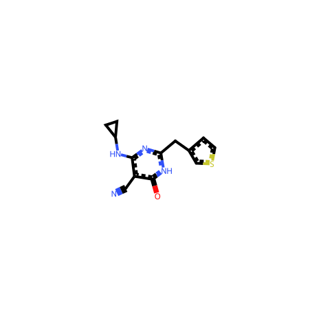 N#Cc1c(NC2CC2)nc(Cc2ccsc2)[nH]c1=O